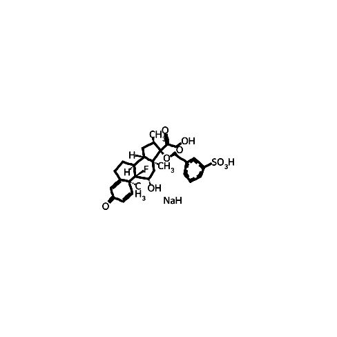 C[C@@H]1C[C@H]2[C@@H]3CCC4=CC(=O)C=C[C@]4(C)[C@@]3(F)[C@@H](O)C[C@]2(C)[C@@]1(OC(=O)c1cccc(S(=O)(=O)O)c1)C(=O)CO.[NaH]